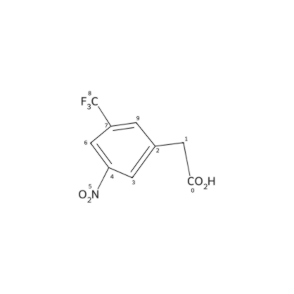 O=C(O)Cc1cc([N+](=O)[O-])cc(C(F)(F)F)c1